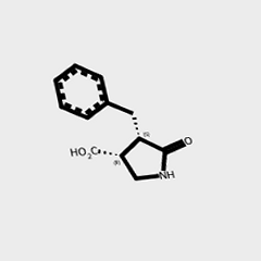 O=C(O)[C@H]1CNC(=O)[C@H]1Cc1ccccc1